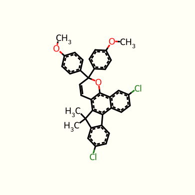 COc1ccc(C2(c3ccc(OC)cc3)C=Cc3c4c(c5ccc(Cl)cc5c3O2)-c2ccc(Cl)cc2C4(C)C)cc1